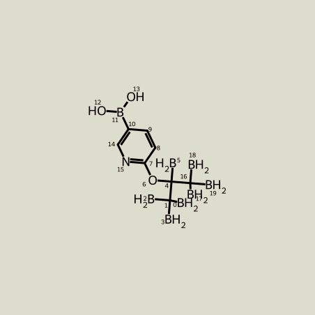 BC(B)(B)C(B)(Oc1ccc(B(O)O)cn1)C(B)(B)B